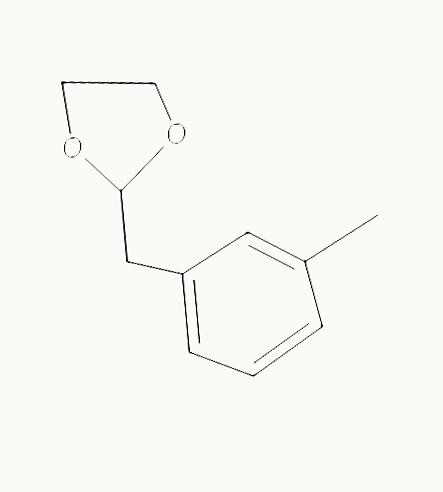 Cc1cccc(CC2OCCO2)c1